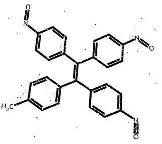 Cc1ccc(C(=C(c2ccc(N=O)cc2)c2ccc(N=O)cc2)c2ccc(N=O)cc2)cc1